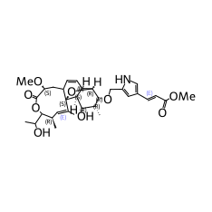 COC(=O)/C=C/c1c[nH]c(CO[C@@H]2[C@H](C)[C@@H](O)[C@@H]3[C@H]4C=CC5C[C@H](OC)C(=O)OC(C(C)O)[C@H](C)/C=C(\C)[C@]53O[C@H]42)c1